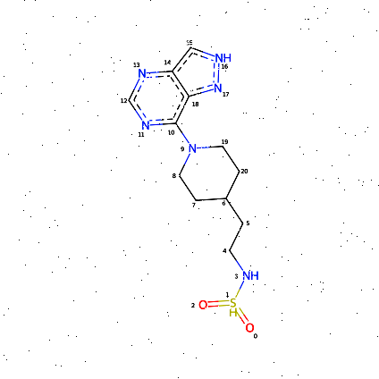 O=[SH](=O)NCCC1CCN(c2ncnc3c[nH]nc23)CC1